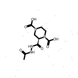 CC(=O)NNC(=O)[C@H]1CN(C(=O)O)CCN1C(=O)O